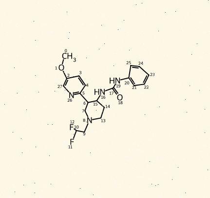 COc1ccc(C2CN(CC(F)F)CCC2NC(=O)Nc2ccccc2)nc1